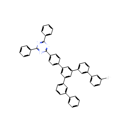 CC(C)c1cccc(-c2cccc(-c3cc(-c4ccc(-c5nc(-c6ccccc6)nc(-c6ccccc6)n5)cc4)cc(-c4cccc(-c5ccccc5)c4)c3)c2)c1